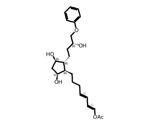 CC(=O)O/C=C/C=C/CCC[C@@H]1[C@@H](CC[C@@H](O)COc2ccccc2)[C@H](O)C[C@@H]1O